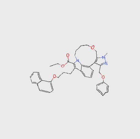 CCOC(=O)c1c(CCCOc2cccc3ccccc23)c2cccc3c2n1CCCCOCc1c-3c(COc2ccccc2)nn1C